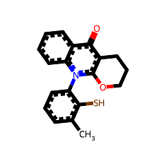 Cc1cccc(-n2c3c(c(=O)c4ccccc42)CCCO3)c1S